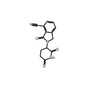 N#Cc1cccc2c1C(=O)N(C1CCC(=O)NC1=O)C2